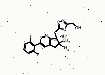 CCC[C@@]1(Cc2nnc(CO)o2)c2nnc(-c3c(F)cccc3F)cc2CC1(C)C